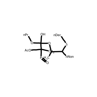 CCCCCCCCCCSC(CCCCCCCCC)C(C)OC(O)(OCCC)C(C)(OC(C)=O)P=O